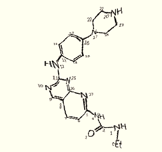 CCNC(=O)Nc1ccc2cnc(Nc3ccc(N4CCNCC4)cc3)nc2n1